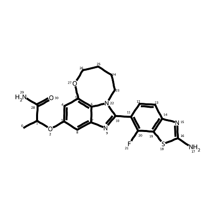 CC(Oc1cc2c3c(c1)nc(-c1ccc4nc(N)sc4c1F)n3CCCCO2)C(N)=O